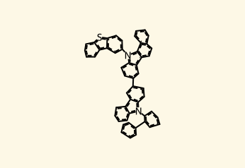 c1ccc(-c2ccccc2-n2c3ccccc3c3cc(-c4ccc5c(c4)c4ccc6ccccc6c4n5-c4ccc5sc6ccccc6c5c4)ccc32)cc1